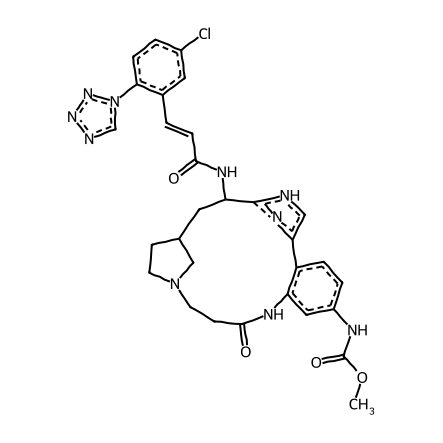 COC(=O)Nc1ccc2c(c1)NC(=O)CCN1CCC(CC(NC(=O)/C=C/c3cc(Cl)ccc3-n3cnnn3)c3nc-2c[nH]3)C1